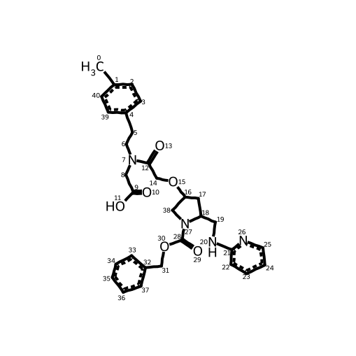 Cc1ccc(CCN(CC(=O)O)C(=O)COC2CC(CNc3ccccn3)N(C(=O)OCc3ccccc3)C2)cc1